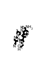 C[C@H](O)Cn1cc(-c2cc3c(N[C@@H]4CN(c5ncc(C#N)cn5)C[C@H]4C)c(C(N)=O)cnn3c2)cn1